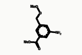 COOCc1cc(N)cc(C(=O)OC)c1